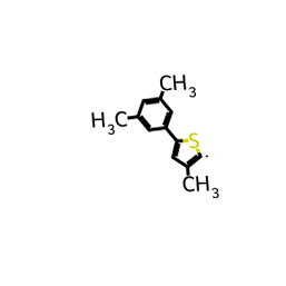 Cc1[c]sc(-c2cc(C)cc(C)c2)c1